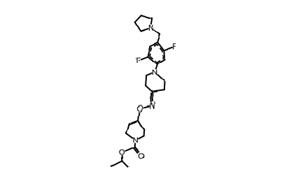 CC(C)OC(=O)N1CCC(ON=C2CCN(c3cc(F)c(CN4CCCC4)cc3F)CC2)CC1